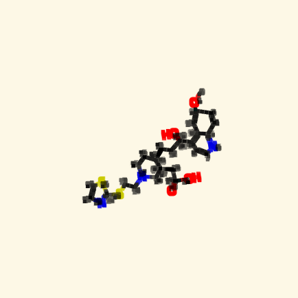 COc1ccc2nccc([C@H](O)CC[C@@H]3CCN(CCSc4nccs4)C[C@@H]3CC(=O)O)c2c1